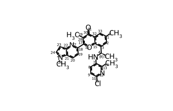 Cc1cc([C@@H](C)Nc2ccc(Cl)nc2C)c2oc(-c3ccc4c(ccn4C)n3)c(C)c(=O)c2c1